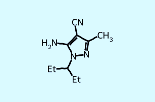 CCC(CC)n1nc(C)c(C#N)c1N